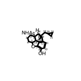 CC(=O)N[C@@]12CCCC3Oc4c(O)ccc5c4[C@@]31CCN(CC1CC1)[C@@H]2C5